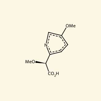 COc1ccc([C@H](OC)C(=O)O)nc1